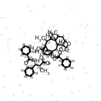 CC(=O)O[C@@]12COC1CC(C)C1(C)C(=O)[C@H](C)C3=C(C)[C@@H](OC(=O)[C@H](C)[C@@H](NC(=O)c4ccccc4)c4ccccc4)CC(O)([C@@H](OC(=O)c4ccccc4)[C@@H]12)C3(C)C